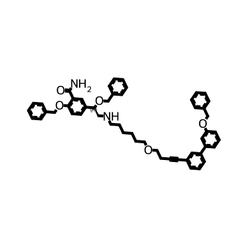 NC(=O)c1cc([C@H](CNCCCCCCOCCC#Cc2cccc(-c3cccc(OCc4ccccc4)c3)c2)OCc2ccccc2)ccc1OCc1ccccc1